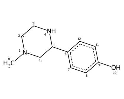 CN1[CH]CNC(c2ccc(O)cc2)C1